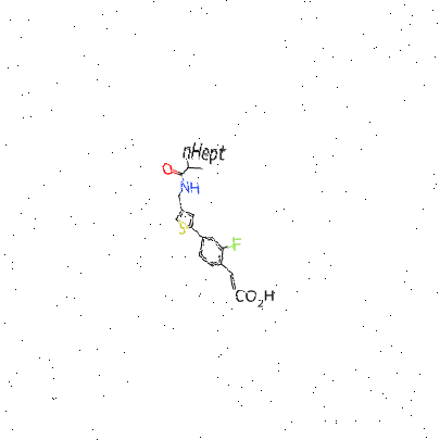 CCCCCCCC(C)C(=O)NCc1csc(-c2ccc(C=CC(=O)O)c(F)c2)c1